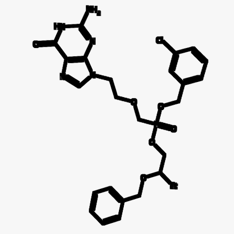 CCC(COP(=O)(COCCn1cnc2c(=O)[nH]c(N)nc21)OCc1cccc(Cl)c1)OCc1ccccc1